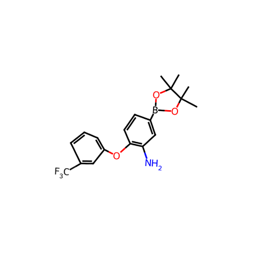 CC1(C)OB(c2ccc(Oc3cccc(C(F)(F)F)c3)c(N)c2)OC1(C)C